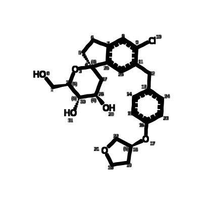 OC[C@H]1O[C@]2(CCc3cc(Cl)c(Cc4ccc(O[C@H]5CCOC5)cc4)cc32)C[C@@H](O)[C@@H]1O